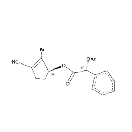 CC(=O)O[C@@H](C(=O)O[C@H]1CCC(C#N)=C1Br)c1ccccc1